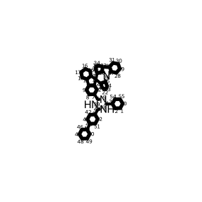 c1ccc(C2=NC(c3ccc4c(c3)C3(c5ccccc5-4)c4ccccc4-n4c5ccccc5c5cccc3c54)NC(c3ccc(-c4ccccc4)cc3)N2)cc1